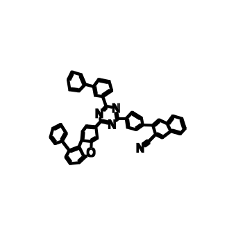 N#Cc1cc2ccccc2cc1-c1ccc(-c2nc(-c3cccc(-c4ccccc4)c3)nc(-c3ccc4c(c3)oc3cccc(-c5ccccc5)c34)n2)cc1